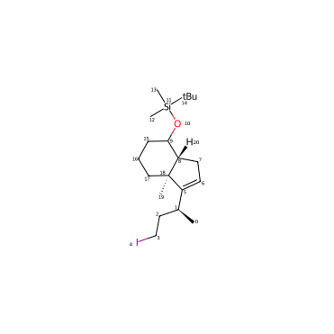 C[C@@H](CCI)C1=CC[C@H]2C(O[Si](C)(C)C(C)(C)C)CCC[C@]12C